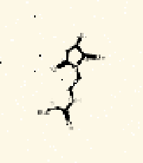 CCC1CC(=O)N(CCNC(=O)OC(C)(C)C)C1=O